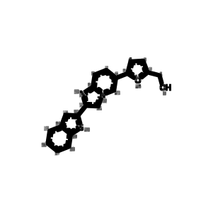 OCc1ccc(-c2ccc3nc(-c4cc5ccccc5s4)cn3c2)o1